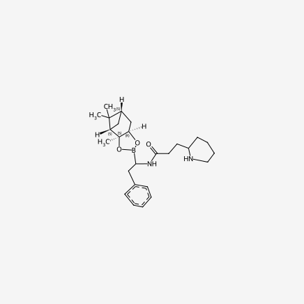 CC1(C)[C@@H]2C[C@H]3OB(C(Cc4ccccc4)NC(=O)CCC4CCCCN4)O[C@@]3(C)[C@H]1C2